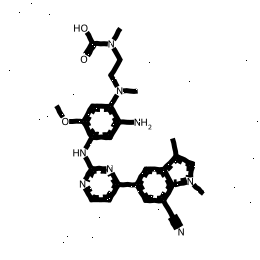 COc1cc(N(C)CCN(C)C(=O)O)c(N)cc1Nc1nccc(-c2cc(C#N)c3c(c2)c(C)cn3C)n1